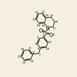 O=S(=O)(c1ccc(Cc2ccccc2)cc1)N1CCCc2ccccc21